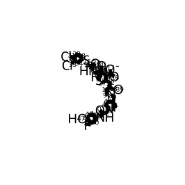 O=C(C[n+]1ccc(CN2CCC(=CC3=C(C(=O)[O-])N4C(=O)[C@@H](NC(=O)CSc5ccc(Cl)c(Cl)c5)[C@H]4SC3)C2=O)cc1)Nc1ccc(O)c(F)c1